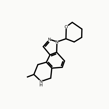 CC1Cc2c(ccc3c2cnn3C2CCCCO2)CN1